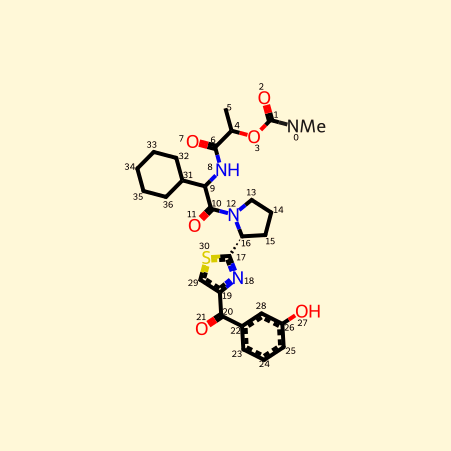 CNC(=O)OC(C)C(=O)NC(C(=O)N1CCC[C@@H]1c1nc(C(=O)c2cccc(O)c2)cs1)C1CCCCC1